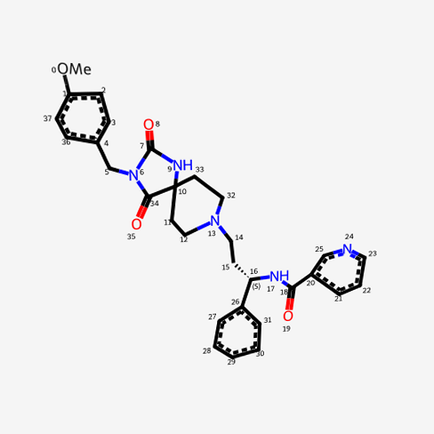 COc1ccc(CN2C(=O)NC3(CCN(CC[C@H](NC(=O)c4cccnc4)c4ccccc4)CC3)C2=O)cc1